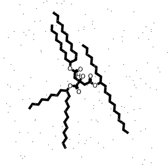 CCCCCCCCCCCC(CCCCCCCC)OC(=O)CC(O)(CC(=O)OC(CCCCCCCC)CCCCCCCCCCC)C(=O)OC(CCCCCCCC)CCCCCCCCCCC